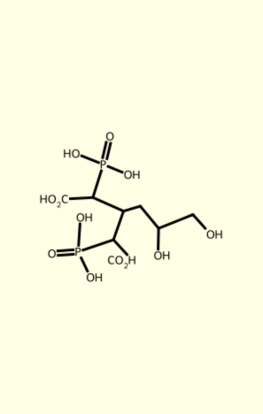 O=C(O)C(C(CC(O)CO)C(C(=O)O)P(=O)(O)O)P(=O)(O)O